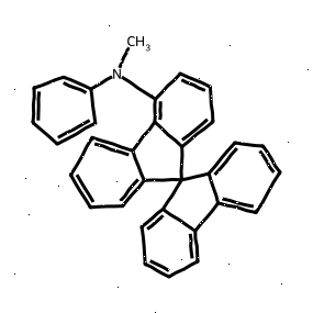 CN(c1ccccc1)c1cccc2c1-c1ccccc1C21c2ccccc2-c2ccccc21